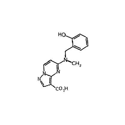 CN(Cc1ccccc1O)c1ccn2ncc(C(=O)O)c2n1